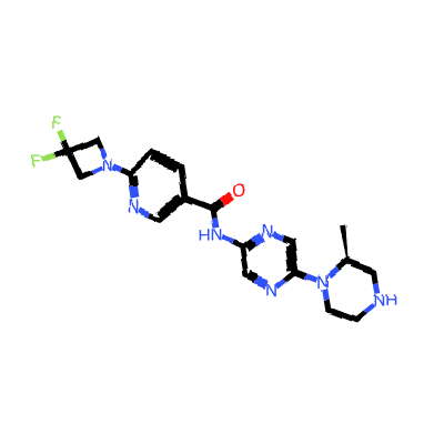 C[C@H]1CNCCN1c1cnc(NC(=O)c2ccc(N3CC(F)(F)C3)nc2)cn1